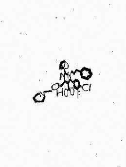 O=C(O)C1=C(COCCN2CCCCC2)N=C(c2ccco2)N(CCCc2ccccc2)C1c1ccc(Cl)c(F)c1